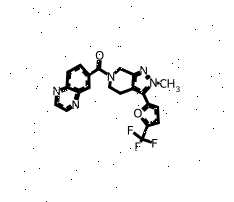 Cn1nc2c(c1-c1ccc(C(F)(F)F)o1)CCN(C(=O)c1ccc3nccnc3c1)C2